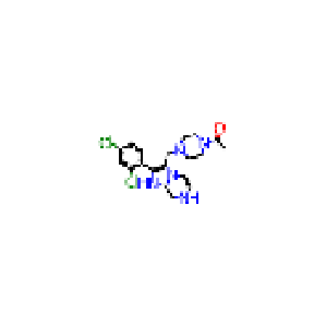 CC(=O)N1CCN(CC2=C(c3ccc(Cl)cc3Cl)NC3CNC=CN23)CC1